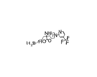 BCCCCC(N)(C(=O)O)C1CCN(c2cc(C(F)(F)F)ccn2)CC1